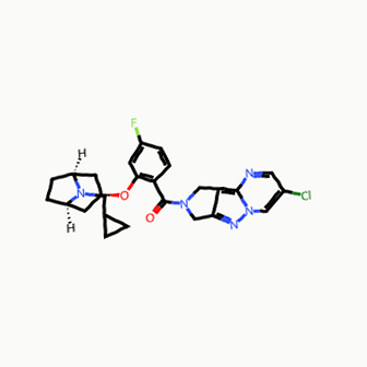 O=C(c1ccc(F)cc1O[C@H]1C[C@H]2CC[C@@H](C1)N2CC1CC1)N1Cc2nn3cc(Cl)cnc3c2C1